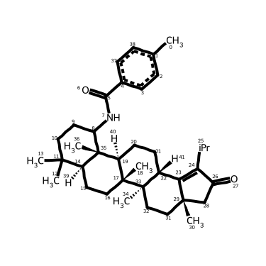 Cc1ccc(C(=O)NC2CCC(C)(C)[C@@H]3CC[C@]4(C)[C@H](CC[C@@H]5C6=C(C(C)C)C(=O)C[C@]6(C)CC[C@]54C)[C@@]23C)cc1